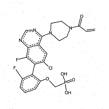 C=CC(=O)N1CCN(c2ncnc3c(F)c(-c4c(F)cccc4OCP(=O)(O)O)c(Cl)cc23)CC1